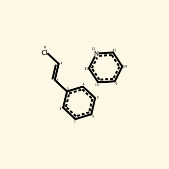 ClC=Cc1ccccc1.c1ccncc1